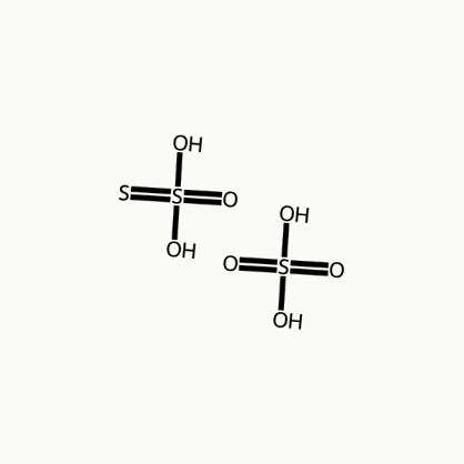 O=S(=O)(O)O.O=S(O)(O)=S